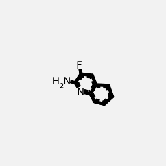 Nc1nc2ccccc2cc1F